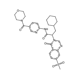 CS(=O)(=O)c1ccc2c(=O)n(C(CC3CCCCC3)C(=O)Nc3ccc(C(=O)N4CCOCC4)cn3)cnc2c1